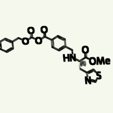 COC(=O)[C@H](Cc1cscn1)NCc1ccc(C(=O)OC(=O)OCc2ccccc2)cc1